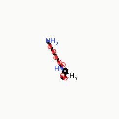 CC1(c2cccc(NC(=O)COCCOCCOCCOCCN)c2)OCCO1